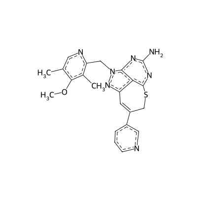 COc1c(C)cnc(Cn2nc3c4c(nc(N)nc42)SCC(c2cccnc2)=C3)c1C